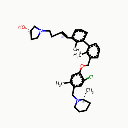 Cc1cc(OCc2cccc(-c3cccc(/C=C/CCN4CC[C@H](O)C4)c3C)c2C)c(Cl)cc1CN1CCCC[C@H]1C